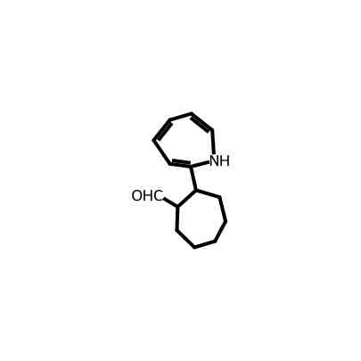 O=CC1CCCCCC1C1=CC=CC=CN1